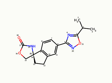 CC(C)c1nc(-c2ccc3c(c2)CC[C@]32COC(=O)N2)no1